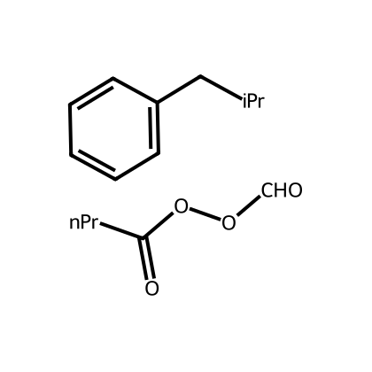 CC(C)Cc1ccccc1.CCCC(=O)OOC=O